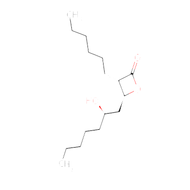 CCCCCC[C@@H]1C(=O)O[C@H]1C[C@H](O)CCCCC